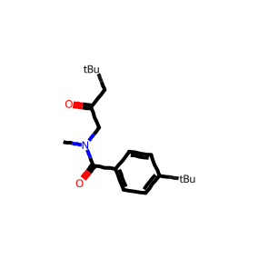 CN(CC(=O)CC(C)(C)C)C(=O)c1ccc(C(C)(C)C)cc1